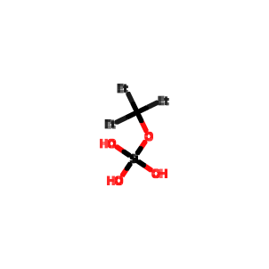 CCC(CC)(CC)O[Si](O)(O)O